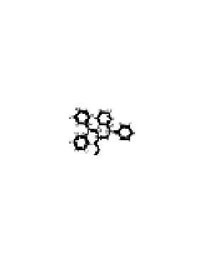 CCCN(CP(c1ccccc1)c1ccccc1)CP(c1ccccc1)c1ccccc1